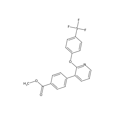 COC(=O)c1ccc(-c2cccnc2Oc2ccc(S(F)(F)F)cc2)cc1